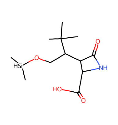 C[SiH](C)OCC(C1C(=O)NC1C(=O)O)C(C)(C)C